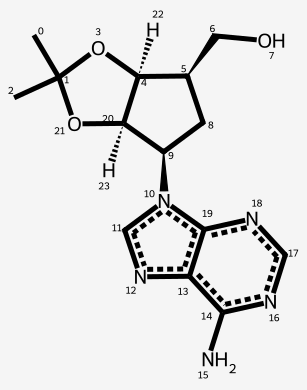 CC1(C)O[C@H]2[C@@H](CO)C[C@@H](n3cnc4c(N)ncnc43)[C@H]2O1